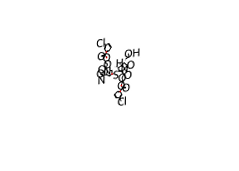 C[C@H]1C(S[C@H]2C[C@@H](C(=O)N(C)C)N(C(=O)OCOC(=O)c3cccc(Cl)c3)C2)=C(C(=O)OCOC(=O)c2cccc(Cl)c2)N2C(=O)[C@@H](CCO)[C@@H]12